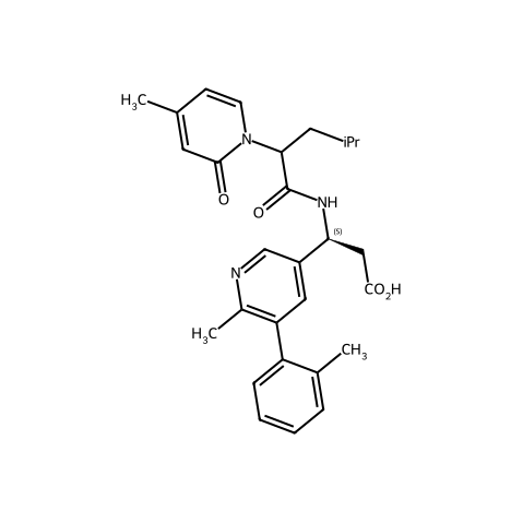 Cc1ccn(C(CC(C)C)C(=O)N[C@@H](CC(=O)O)c2cnc(C)c(-c3ccccc3C)c2)c(=O)c1